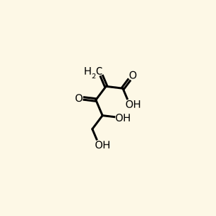 C=C(C(=O)O)C(=O)C(O)CO